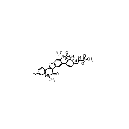 C/C=C(\C=C/C(C)CNS(C)(=O)=O)c1cc2c(C(=O)NC)c(-c3ccc(F)cc3)oc2cc1N(C)S(C)(=O)=O